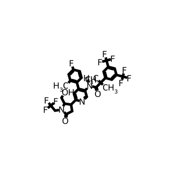 Cc1cc(F)ccc1-c1cc(C2CC(=O)N(CC(F)(F)F)C2CO)ncc1N(C)C(=O)C(C)(C)c1cc(C(F)(F)F)cc(C(F)(F)F)c1